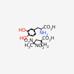 C=C(CC(C)([N+](=O)[O-])[N+](=O)[O-])C(=O)O.N[C@@H](Cc1ccc(O)c(O)c1)C(=O)O